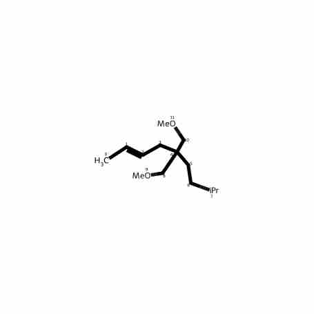 CC=CCC(CCC(C)C)(COC)COC